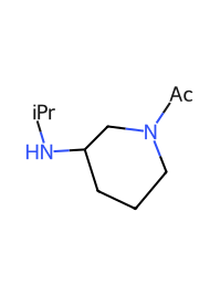 CC(=O)N1CCCC(NC(C)C)C1